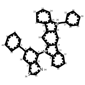 c1ccc(-c2cc(-n3c4ccccc4c4cc5c(cc43)c3ccccc3n5-c3ccccc3)c3ncsc3c2)cc1